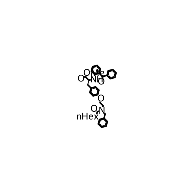 CCCCCCC(=O)N(CCOc1ccc(C[C@H](Nc2ccccc2C(=O)c2ccccc2)C(=O)OC)cc1)Cc1ccccc1